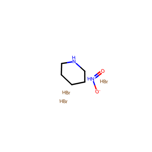 Br.Br.Br.C1CCNCC1.O=[NH+][O-]